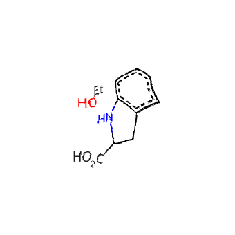 CCO.O=C(O)C1Cc2ccccc2N1